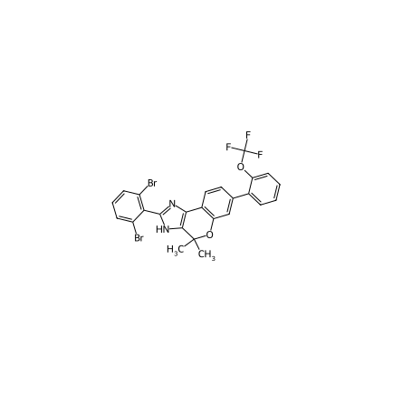 CC1(C)Oc2cc(-c3ccccc3OC(F)(F)F)ccc2-c2nc(-c3c(Br)cccc3Br)[nH]c21